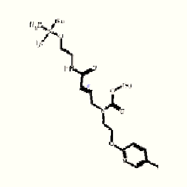 CC(C)(C)OC(=O)N(C/C=C/C(=O)NCCO[Si](C)(C)C(C)(C)C)CCOc1ccc(I)cn1